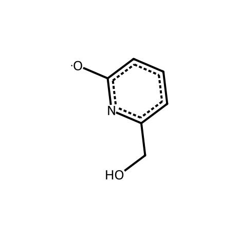 [O]c1cccc(CO)n1